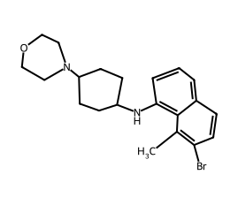 Cc1c(Br)ccc2cccc(NC3CCC(N4CCOCC4)CC3)c12